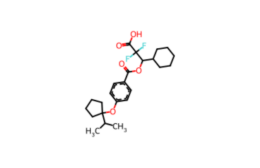 CC(C)C1(Oc2ccc(C(=O)OC(C3CCCCC3)C(F)(F)C(=O)O)cc2)CCCC1